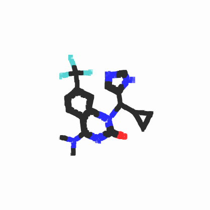 CN(C)c1nc(=O)n(C(c2cnc[nH]2)C2CC2)c2cc(C(F)(F)F)ccc12